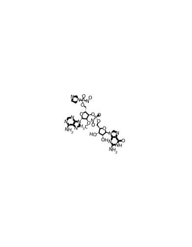 CO[C@@H]1[C@H](OP(=O)(N=O)OC[C@H]2O[C@@H](n3cnc4c(=O)[nH]c(N)nc43)[C@H](O)[C@@H]2O)[C@@H](COP(=O)(N=O)n2ccnc2)O[C@H]1n1cnc2c(N)ncnc21